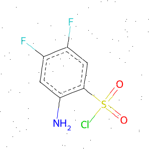 Nc1cc(F)c(F)cc1S(=O)(=O)Cl